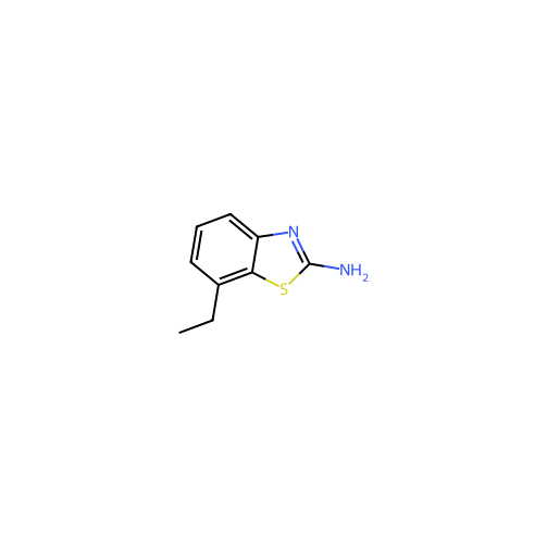 CCc1cccc2nc(N)sc12